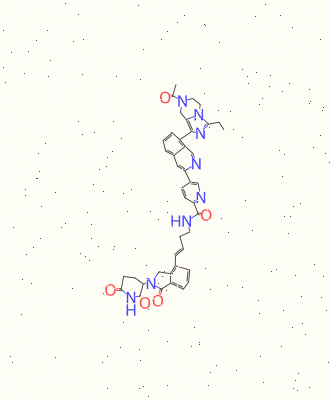 CCc1nc(-c2cccc3cc(-c4ccc(C(=O)NCC/C=C/c5cccc6c5CN(C5CCC(=O)NC5=O)C6=O)nc4)ncc23)c2n1CCN(C(C)=O)C2